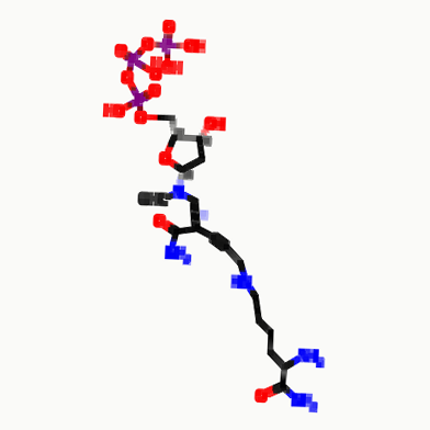 NC(=O)/C(C#CCNCCCCC(N)C(N)=O)=C\N(C=O)[C@H]1C[C@@H](O)[C@@H](COP(=O)(O)OP(=O)(O)OP(=O)(O)O)O1